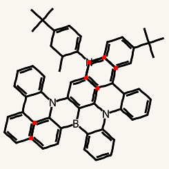 CC1CC(C(C)(C)C)=CC=C1N(c1ccc(C(C)(C)C)cc1)c1cc2c3c(c1)N(c1ccccc1-c1ccccc1)c1ccccc1B3c1ccccc1N2c1ccccc1-c1ccccc1